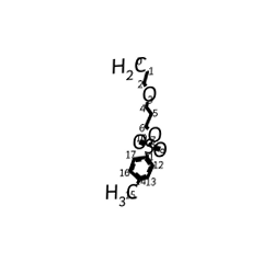 C=CCOCCCOS(=O)(=O)c1ccc(C)cc1